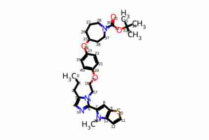 CCCc1cnc(-c2cc3sccc3n2C)n1CCOc1ccc(OC2CCCN(C(=O)OC(C)(C)C)CC2)cc1